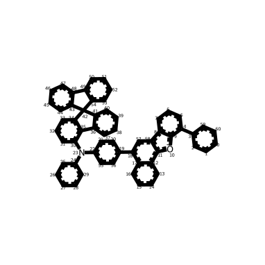 c1ccc(-c2cccc3c2oc2c4ccccc4c(-c4ccc(N(c5ccccc5)c5cccc6c5-c5ccccc5C65c6ccccc6-c6ccccc65)cc4)cc32)cc1